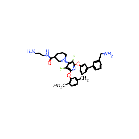 Cc1ccc(C(=O)O)c(Oc2nc(Oc3cccc(-c4cccc(CN)c4)c3)c(F)c(N3CCCC(C(=O)NCCCN)C3)c2F)c1